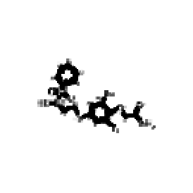 NC(=O)COc1c(F)cc(SCCN(O)S(=O)(=O)c2ccccc2)cc1F